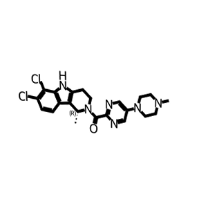 C[C@@H]1c2c([nH]c3c(Cl)c(Cl)ccc23)CCN1C(=O)c1ncc(N2CCN(C)CC2)cn1